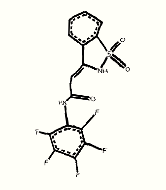 O=C(C=C1NS(=O)(=O)c2ccccc21)Nc1c(F)c(F)c(F)c(F)c1F